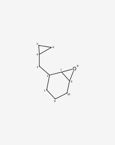 C1CC(CC2CC2)C2OC2C1